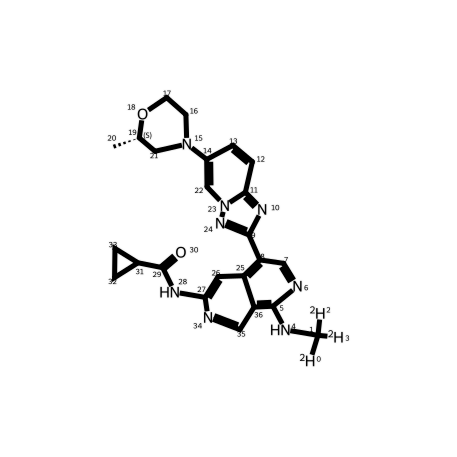 [2H]C([2H])([2H])Nc1ncc(-c2nc3ccc(N4CCO[C@@H](C)C4)cn3n2)c2cc(NC(=O)C3CC3)ncc12